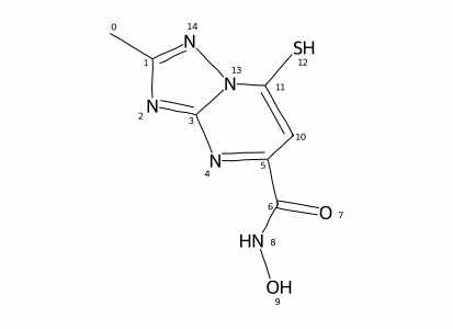 Cc1nc2nc(C(=O)NO)cc(S)n2n1